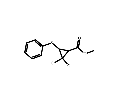 COC(=O)C1C(Sc2ccccc2)C1(Cl)Cl